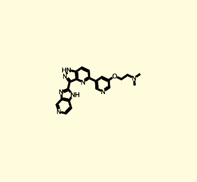 CN(C)CCOc1cncc(-c2ccc3[nH]nc(-c4nc5cnccc5[nH]4)c3n2)c1